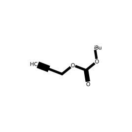 C#CCOC(=O)OC(C)CC